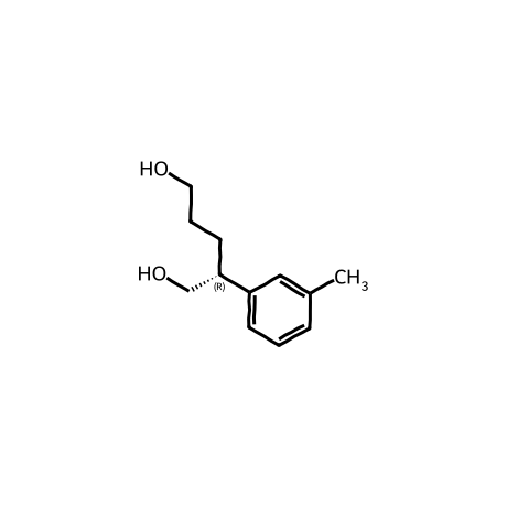 Cc1cccc([C@H](CO)CCCO)c1